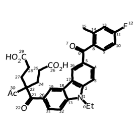 CCn1c2ccc(C(=O)c3ccc(F)cc3C)cc2c2cc(C(=O)C(CCC(=O)O)(CCC(=O)O)C(C)=O)ccc21